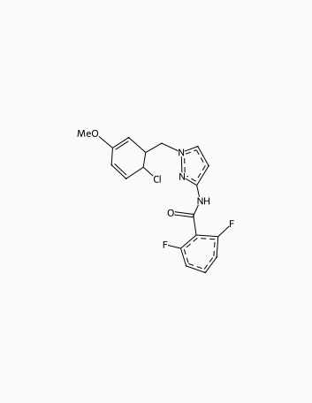 COC1=CC(Cn2ccc(NC(=O)c3c(F)cccc3F)n2)C(Cl)C=C1